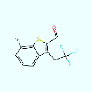 O=Cc1sc2c(Br)cccc2c1CC(F)(F)F